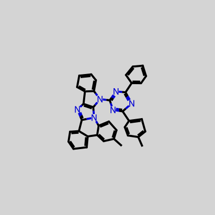 Cc1ccc(-c2nc(-c3ccccc3)nc(-n3c4ccccc4c4nc5c6ccccc6c6cc(C)ccc6n5c43)n2)cc1